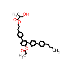 C=CCCc1ccc(-c2ccc(-c3cc(-c4ccc(CCCOC(=O)C(=C)CO)cc4)ccc3OC(=O)C=C)cc2)cc1